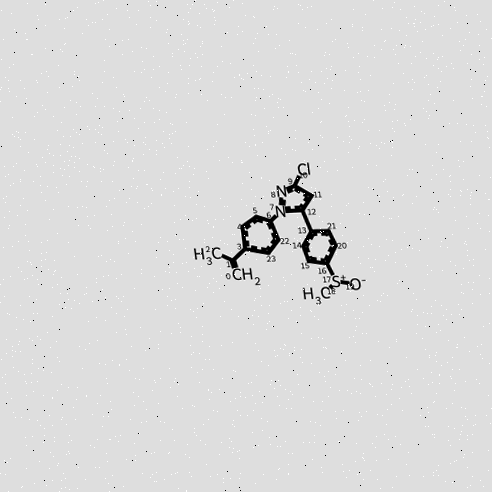 C=C(C)c1ccc(-n2nc(Cl)cc2-c2ccc([S+](C)[O-])cc2)cc1